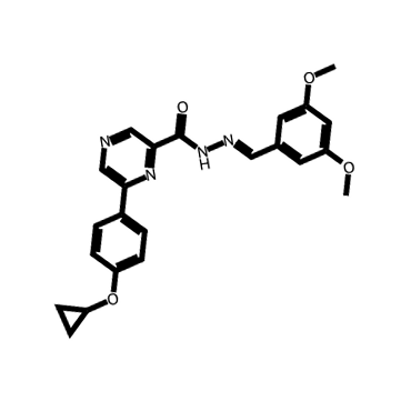 COc1cc(C=NNC(=O)c2cncc(-c3ccc(OC4CC4)cc3)n2)cc(OC)c1